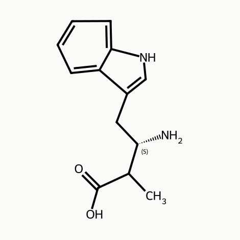 CC(C(=O)O)[C@@H](N)Cc1c[nH]c2ccccc12